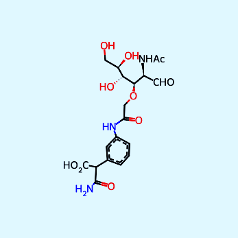 CC(=O)N[C@@H](C=O)[C@@H](OCC(=O)Nc1cccc(C(C(N)=O)C(=O)O)c1)[C@H](O)[C@H](O)CO